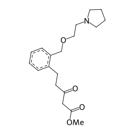 COC(=O)CC(=O)CCc1ccccc1COCCN1CCCC1